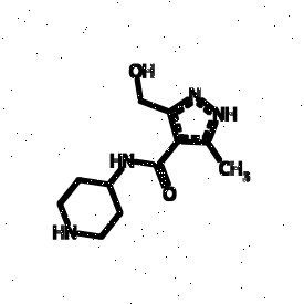 Cc1[nH]nc(CO)c1C(=O)NC1CCNCC1